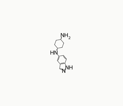 N[C@H]1CC[C@@H](Nc2ccc3[nH]ncc3c2)CC1